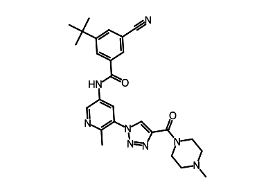 Cc1ncc(NC(=O)c2cc(C#N)cc(C(C)(C)C)c2)cc1-n1cc(C(=O)N2CCN(C)CC2)nn1